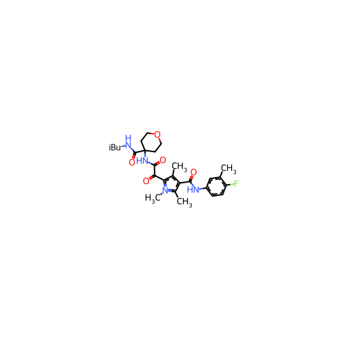 CC[C@H](C)NC(=O)C1(NC(=O)C(=O)c2c(C)c(C(=O)Nc3ccc(F)c(C)c3)c(C)n2C)CCOCC1